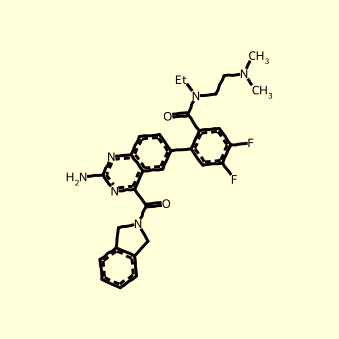 CCN(CCN(C)C)C(=O)c1cc(F)c(F)cc1-c1ccc2nc(N)nc(C(=O)N3Cc4ccccc4C3)c2c1